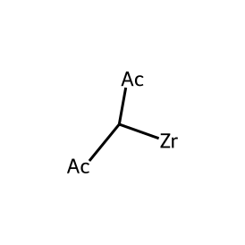 CC(=O)[CH]([Zr])C(C)=O